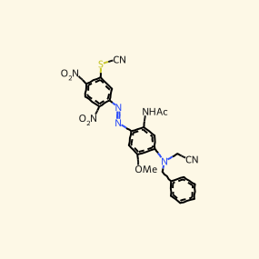 COc1cc(/N=N/c2cc(SC#N)c([N+](=O)[O-])cc2[N+](=O)[O-])c(NC(C)=O)cc1N(CC#N)Cc1ccccc1